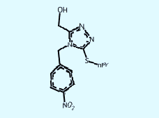 CCCSc1nnc(CO)n1Cc1ccc([N+](=O)[O-])cc1